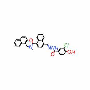 CN(Cc1cccc2ccccc12)C(=O)c1ccc(/C=N/NC(=O)c2ccc(O)c(Cl)c2)c2ccccc12